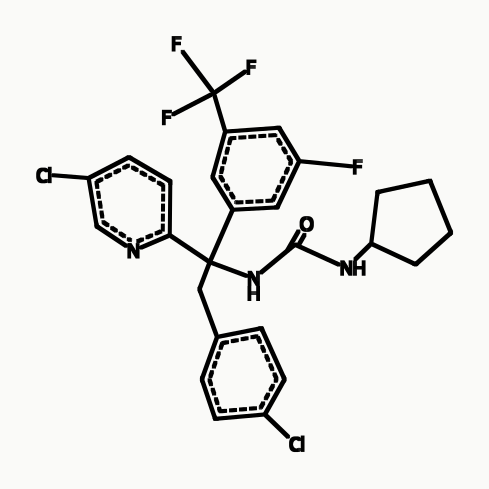 O=C(NC1CCCC1)NC(Cc1ccc(Cl)cc1)(c1cc(F)cc(C(F)(F)F)c1)c1ccc(Cl)cn1